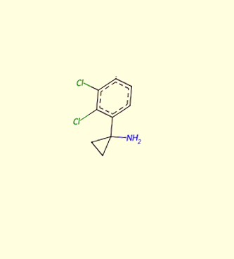 NC1(c2cc[c]c(Cl)c2Cl)CC1